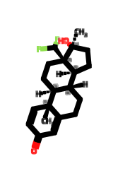 C[C@]12C=CC(=O)C=C1CC[C@@H]1[C@@H]2CC[C@@]2(C(F)F)[C@H]1CC[C@]2(C)O